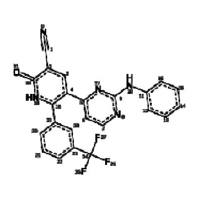 N#Cc1cc(-c2ccnc(Nc3ccccc3)n2)c(-c2cccc(C(F)(F)F)c2)[nH]c1=O